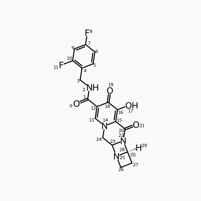 O=C(NCc1ccc(F)cc1F)c1cn2c(c(O)c1=O)C(=O)N1C(C2)N2CC[C@@H]21